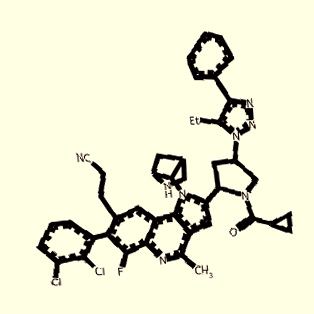 CCc1c(-c2ccccc2)nnn1C1CC(c2cc3c(C)nc4c(F)c(-c5cccc(Cl)c5Cl)c(CCC#N)cc4c3n2C2C3CNC2C3)N(C(=O)C2CC2)C1